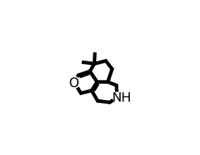 CC1(C)CCC2CNCCC3=C2C1=COC3